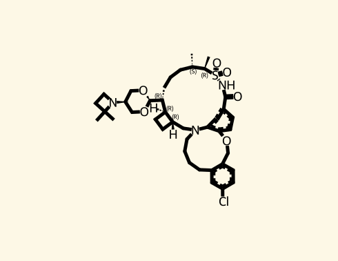 C[C@@H]1[C@@H](C)CCC[C@@H]([C@H]2OC[C@H](N3CCC3(C)C)CO2)[C@@H]2CC[C@H]2CN2CCCCc3cc(Cl)ccc3COc3ccc(cc32)C(=O)NS1(=O)=O